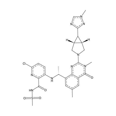 Cc1cc([C@@H](C)Nc2ccc(Cl)nc2C(=O)NS(C)(=O)=O)c2nc(N3C[C@@H]4C(c5ncn(C)n5)[C@@H]4C3)n(C)c(=O)c2c1